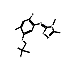 Cc1cc(F)c(/N=c2\snc(C)n2C)cc1SCC(C)(C)F